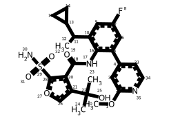 COc1cc(-c2cc(F)cc(C(C)C3CC3)c2NC(=O)c2c(C(C)(C)O)coc2S(N)(=O)=O)ccn1